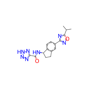 CC(C)c1nc(-c2ccc3c(c2)CC[C@H]3NC(=O)c2nn[nH]n2)no1